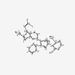 CC(C)Cn1c(N)nc2cc(-c3[nH]c(-c4c(F)cccc4Cl)nc3-c3ccccc3)ccc21